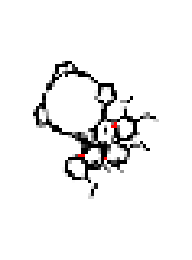 COc1cccc(-c2c(-c3cccc(OC)c3OC)c3c(-c4cccc(OC)c4OC)c4nc(cc5ccc(cc6nc(cc2n3-c2cccc(OC)c2OC)C=C6)[nH]5)C=C4)c1OC